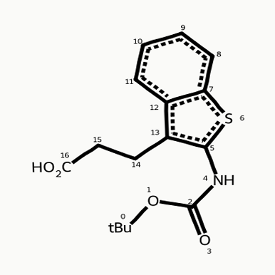 CC(C)(C)OC(=O)Nc1sc2ccccc2c1CCC(=O)O